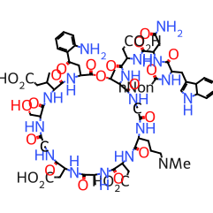 CCCCCCCCCC(=O)NC(CC1=CNC2C=CC=CC12)C(=O)NC(CC(N)=O)C(=O)NC(CC(=O)O)C(=O)NC1C(=O)NCC(=O)NC(CCCNC)C(=O)NC(CC(=O)O)C(=O)NC(C)C(=O)NC(CC(=O)O)C(=O)NCC(=O)NC(CO)C(=O)NC(C(C)CC(=O)O)C(=O)NC(CC(=O)c2ccccc2N)C(=O)OC1C